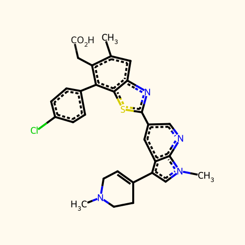 Cc1cc2nc(-c3cnc4c(c3)c(C3=CCN(C)CC3)cn4C)sc2c(-c2ccc(Cl)cc2)c1CC(=O)O